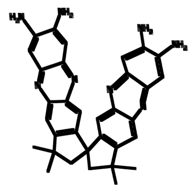 CC1(C)CC2(CC(C)(C)c3cc4nc5cc(N)c(N)cc5nc4cc32)c2cc3nc4cc(N)c(N)cc4nc3cc21